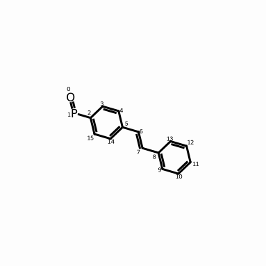 O=Pc1ccc(C=Cc2ccccc2)cc1